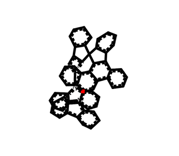 c1ccc2c(c1)-c1ccc(-n3c4ccccc4c4ccccc43)cc1C21c2ccccc2-c2c1c1c3ccccc3c(-n3c4ccccc4c4ccccc43)cc1c1ccccc21